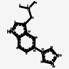 CN(C)Cc1c[nH]c2ccc(-n3cnnc3)cc12